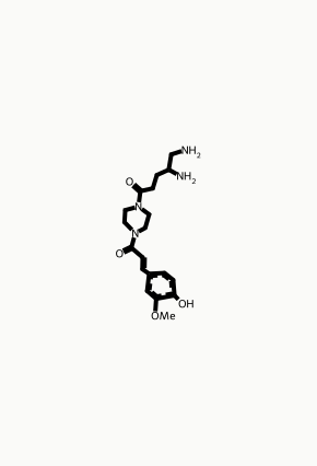 COc1cc(C=CC(=O)N2CCN(C(=O)CCC(N)CN)CC2)ccc1O